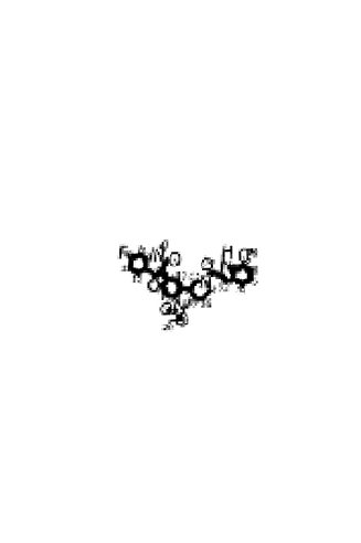 CNC(=O)c1c(-c2ccc(F)cc2)oc2cc(N(C)S(C)(=O)=O)c(C3CCCN(C(=O)c4cc5cccc(OC)c5[nH]4)C3)cc12